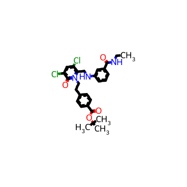 CCNC(=O)c1cccc(NCc2c(Cl)cc(Cl)c(=O)n2CCc2ccc(C(=O)OC(C)(C)C)cc2)c1